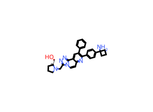 NC1(c2ccc(-c3nc4ccn5c(CN6CCC[C@@H]6CO)nnc5c4cc3-c3ccccc3)cc2)CCC1